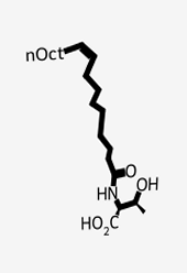 CCCCCCCC/C=C\CCCCCCCC(=O)N[C@H](C(=O)O)[C@H](C)O